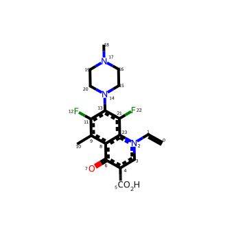 C=Cn1cc(C(=O)O)c(=O)c2c(C)c(F)c(N3CCN(C)CC3)c(F)c21